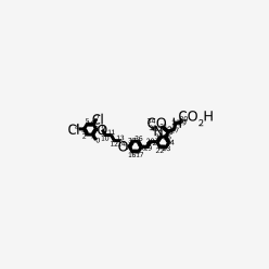 Cc1cc(Cl)cc(Cl)c1OCCCCOc1ccc(C=Cc2cccc3c(CCCC(=O)O)cn(CC(=O)O)c23)cc1